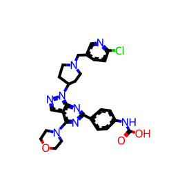 O=C(O)Nc1ccc(-c2nc(N3CCOCC3)c3cnn(C4CCN(Cc5ccc(Cl)nc5)CC4)c3n2)cc1